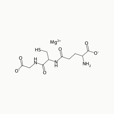 NC(CCC(=O)NC(CS)C(=O)NCC(=O)[O-])C(=O)[O-].[Mg+2]